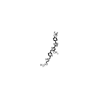 COCCNCc1ccc(Cn2nc(-c3nc(-c4ccc(OC(F)(F)F)cc4)no3)cc2C)cn1